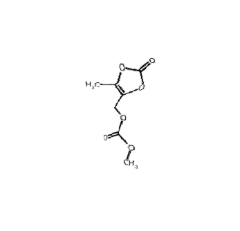 COC(=O)OCc1oc(=O)oc1C